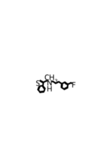 CC(NCCCc1cccc(CF)c1)c1csc2ccccc12